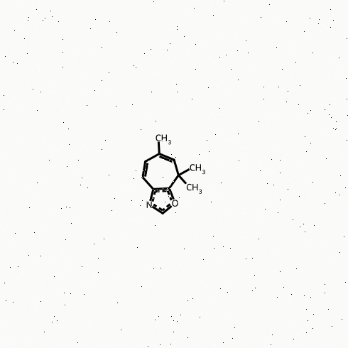 CC1=CC(C)(C)c2ocnc2C=C1